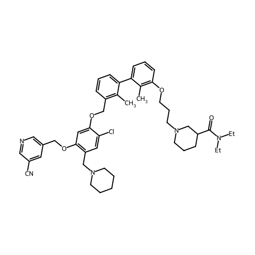 CCN(CC)C(=O)C1CCCN(CCCOc2cccc(-c3cccc(COc4cc(OCc5cncc(C#N)c5)c(CN5CCCCC5)cc4Cl)c3C)c2C)C1